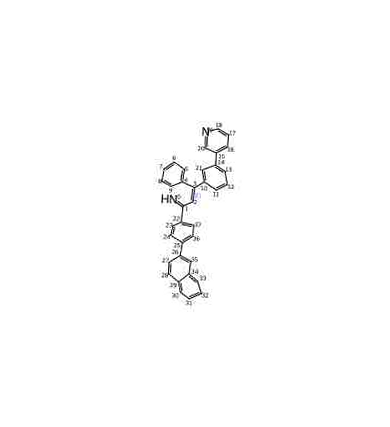 N=C(/C=C(\c1ccccc1)c1cccc(-c2cccnc2)c1)c1ccc(-c2ccc3ccccc3c2)cc1